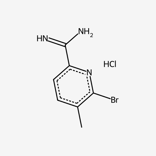 Cc1ccc(C(=N)N)nc1Br.Cl